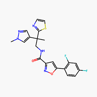 Cn1cc(C(C)(CNC(=O)c2cc(-c3ccc(F)cc3F)on2)c2nccs2)cn1